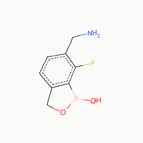 NCc1ccc2c(c1F)B(O)OC2